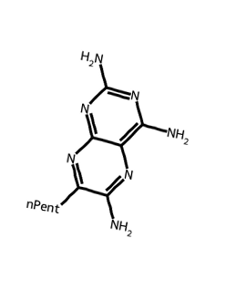 CCCCCc1nc2nc(N)nc(N)c2nc1N